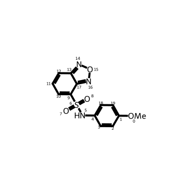 COc1ccc(NS(=O)(=O)c2cccc3nonc23)cc1